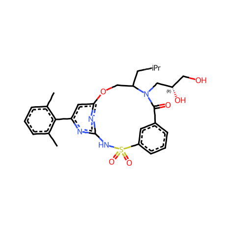 Cc1cccc(C)c1-c1cc2nc(n1)NS(=O)(=O)c1cccc(c1)C(=O)N(C[C@@H](O)CO)C(CC(C)C)CO2